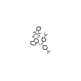 CN(C)c1ccc(C(Cc2cc3c(c4ccccc24)N=CC2(O3)N(C)c3ccccc3C2(C)C)c2ccc(N(C)C)cc2)cc1